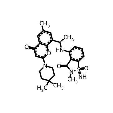 Cc1cc([C@@H](C)Nc2cccc3c2C(=O)N(C)[S@@]3(=N)=O)c2oc(N3CCC(C)(C)CC3)cc(=O)c2c1